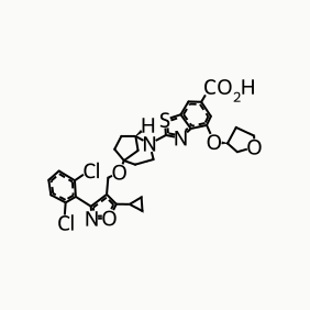 O=C(O)c1cc(O[C@H]2CCOC2)c2nc(N3CCC4(OCc5c(-c6c(Cl)cccc6Cl)noc5C5CC5)CC[C@H]3C4)sc2c1